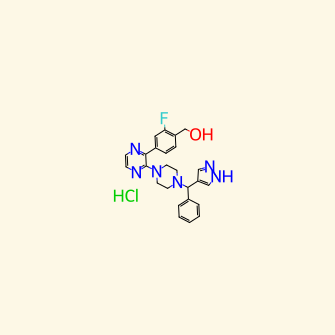 Cl.OCc1ccc(-c2nccnc2N2CCN(C(c3ccccc3)c3cn[nH]c3)CC2)cc1F